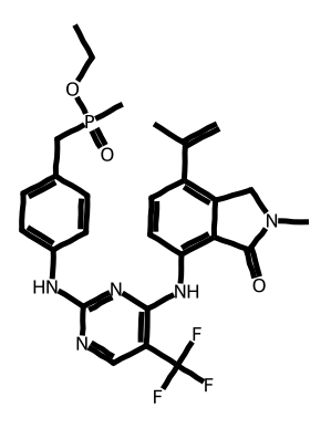 C=C(C)c1ccc(Nc2nc(Nc3ccc(CP(C)(=O)OCC)cc3)ncc2C(F)(F)F)c2c1CN(C)C2=O